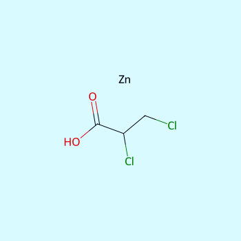 O=C(O)C(Cl)CCl.[Zn]